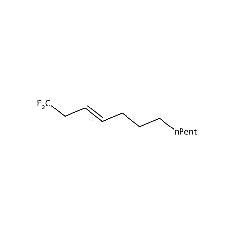 [CH2]CCCCCCC/C=C/CC(F)(F)F